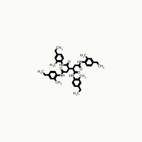 CCc1ccc(NC(=O)CC(C(=O)Nc2ccc(CC)cc2C)C(CC(=O)Nc2ccc(CC)cc2C)C(=O)Nc2ccc(CC)cc2C)c(C)c1